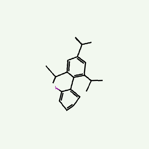 CC(C)c1cc(C(C)C)c(-c2ccccc2I)c(C(C)C)c1